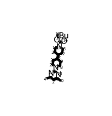 Cc1cc(C)nc(N2CCC(C3CCN(C(=O)OC(C)(C)C)CC3)CC2)n1